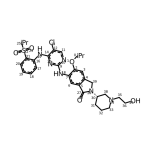 CC(C)Oc1cc2c(cc1Nc1ncc(Cl)c(Nc3ccccc3S(=O)(=O)C(C)C)n1)C(=O)N([C@H]1CCCN(CCO)C1)C2